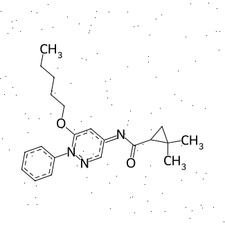 CCCCCOc1cc(=NC(=O)C2CC2(C)C)cnn1-c1ccccc1